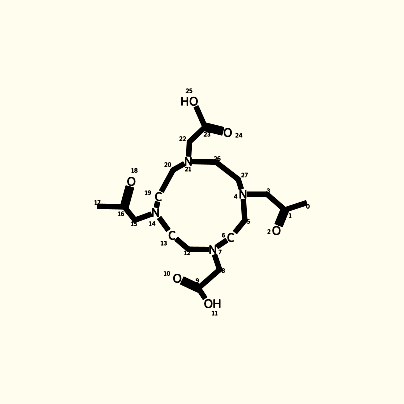 CC(=O)CN1CCN(CC(=O)O)CCN(CC(C)=O)CCN(CC(=O)O)CC1